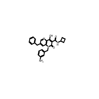 Nc1cccc(Cn2c(=O)c(C(=O)NC3CCC3)c(O)c3ncc(Cc4ccccc4)cc32)c1